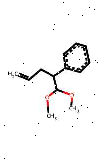 C=CCC(c1ccccc1)C(OC)OC